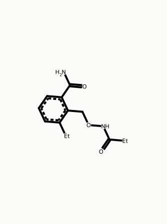 CCC(=O)NOCc1c(CC)cccc1C(N)=O